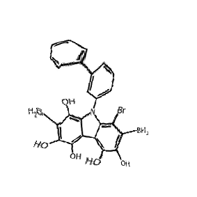 Bc1c(O)c(O)c2c3c(O)c(O)c(B)c(Br)c3n(-c3cccc(-c4ccccc4)c3)c2c1O